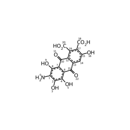 Nc1c(O)c(O)c2c(c1O)C(=O)c1c(cc(O)c(C(=O)O)c1C(=O)O)C2=O